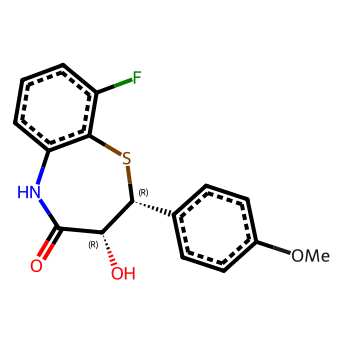 COc1ccc([C@H]2Sc3c(F)cccc3NC(=O)[C@H]2O)cc1